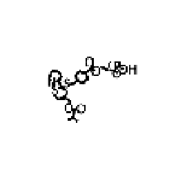 C=C(C)C(=O)OCC1=CCSC(SCc2ccc(C(=O)OCCOP(C)(=O)O)cc2)(c2ccccn2)C1